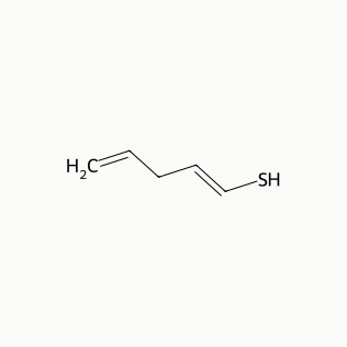 C=CC/C=C/S